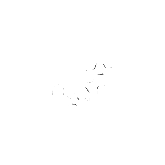 Cc1nc(Nc2cc(C)n(C3CCOCC3)n2)cc(NC(C)c2ccc(F)cc2F)n1